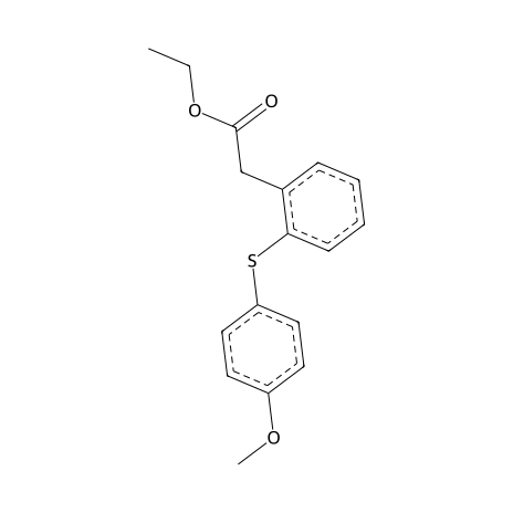 CCOC(=O)Cc1ccccc1Sc1ccc(OC)cc1